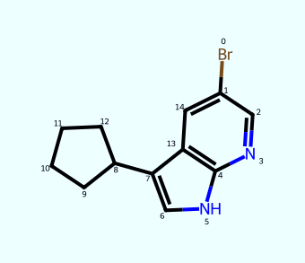 Brc1cnc2[nH]cc(C3CCCC3)c2c1